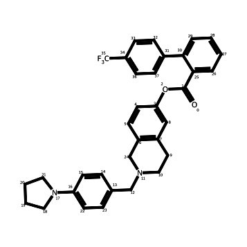 O=C(Oc1ccc2c(c1)CCN(Cc1ccc(N3CCCC3)cc1)C2)c1ccccc1-c1ccc(C(F)(F)F)cc1